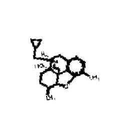 C=C1CC[C@@]2(O)[C@H]3Cc4ccc(C)c5c4[C@@]2(CCN3CC2CC2)[C@H]1O5